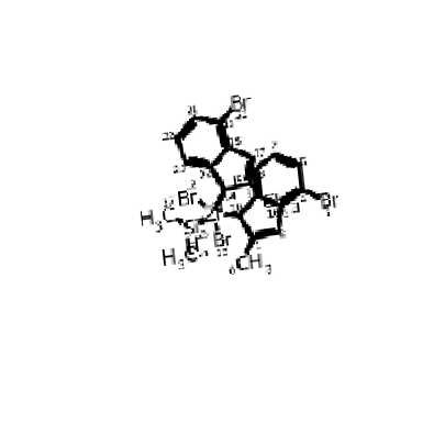 CC1=Cc2c(Br)cccc2[CH]1[Zr]([Br])([Br])([CH]1C(C)=Cc2c(Br)cccc21)[SiH](C)C